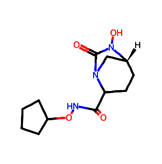 O=C(NOC1CCCC1)C1CC[C@@H]2CN1C(=O)N2O